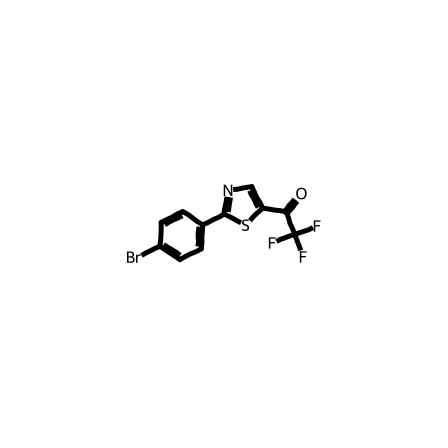 O=C(c1cnc(-c2ccc(Br)cc2)s1)C(F)(F)F